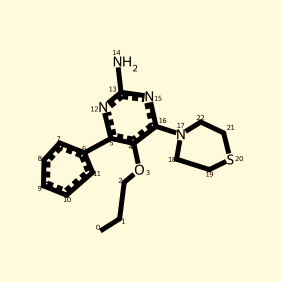 CCCOc1c(-c2ccccc2)nc(N)nc1N1CCSCC1